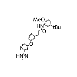 COc1ccc(C(C)(C)C)cc1NC(=O)CCc1cccc(Oc2ccnc(C3=NCCN3)c2)c1